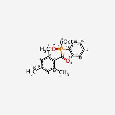 CCCCCCCCP(=O)(C(=O)c1c(C)cc(C)cc1C)c1ccccc1